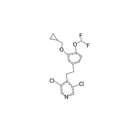 FC(F)Oc1ccc(CCc2c(Cl)cncc2Cl)cc1OCC1CC1